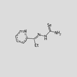 CCC(=NNC(N)=[Se])c1ccccn1